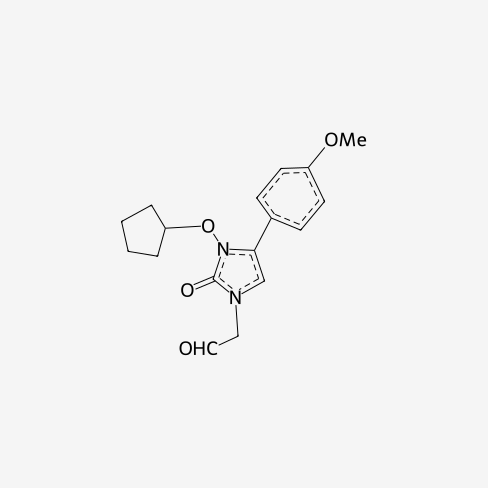 COc1ccc(-c2cn(CC=O)c(=O)n2OC2CCCC2)cc1